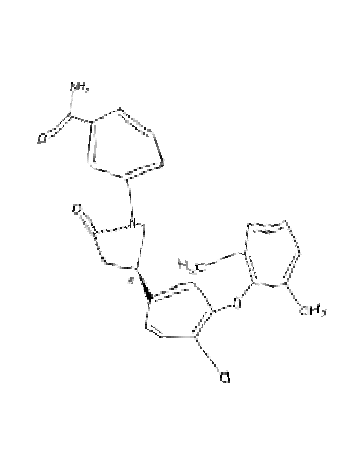 Cc1cccc(C)c1Oc1cc([C@H]2CC(=O)N(c3cccc(C(N)=O)c3)C2)ccc1Cl